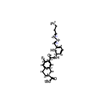 CC(C)CC/C=N/N=C/C1=CC=CC(NC(=O)c2cc3c(cc2F)CCN(C(=O)C(C)(C)C)C3)N1